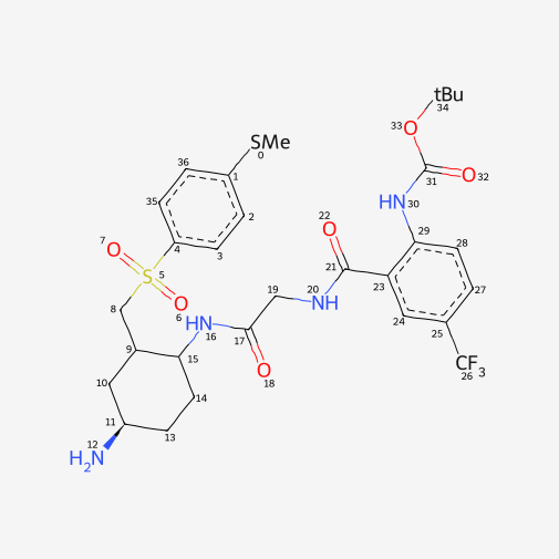 CSc1ccc(S(=O)(=O)CC2C[C@H](N)CCC2NC(=O)CNC(=O)c2cc(C(F)(F)F)ccc2NC(=O)OC(C)(C)C)cc1